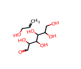 C=CCO.O=CC(O)C(O)C(O)C(O)CO